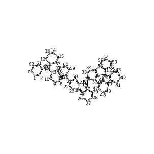 c1ccc(N(c2ccccc2)c2ccccc2-c2ccc(-c3ccc4c5ccccc5n(-c5ccc6c(c5)C(c5ccccc5)(c5ccccc5)c5ccccc5-6)c4c3)cc2)cc1